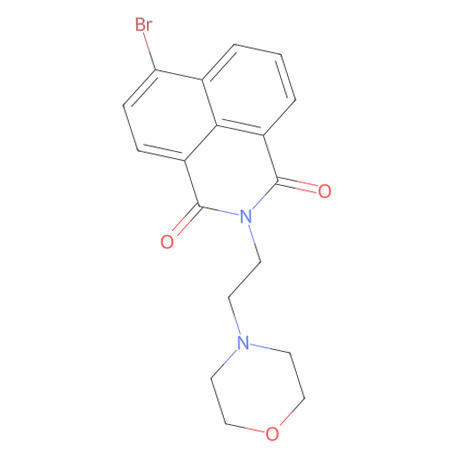 O=C1c2cccc3c(Br)ccc(c23)C(=O)N1CCN1CCOCC1